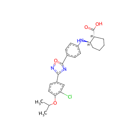 CC(C)Oc1ccc(-c2noc(-c3ccc(N[C@@H]4CCCC[C@H]4C(=O)O)cc3)n2)cc1Cl